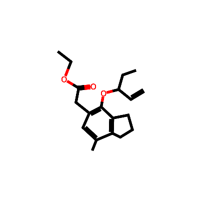 C=CC(CC)Oc1c(CC(=O)OCC)cc(C)c2c1CCC2